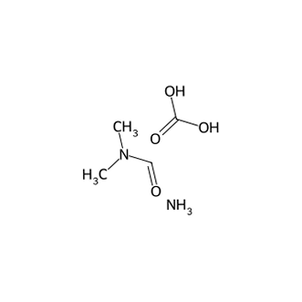 CN(C)C=O.N.O=C(O)O